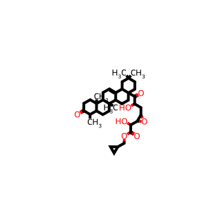 CC1C(=O)CCC2(C)C1CCC1(C)C3CCC4(C(=O)C(O)CC5OC5C(O)C(=O)OCC5CC5)CCC(C)(C)CC4C3=CCC12